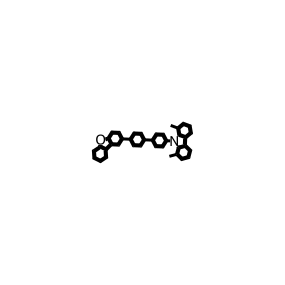 Cc1cccc2c3cccc(C)c3n(-c3ccc(-c4ccc(-c5ccc6oc7ccccc7c6c5)cc4)cc3)c12